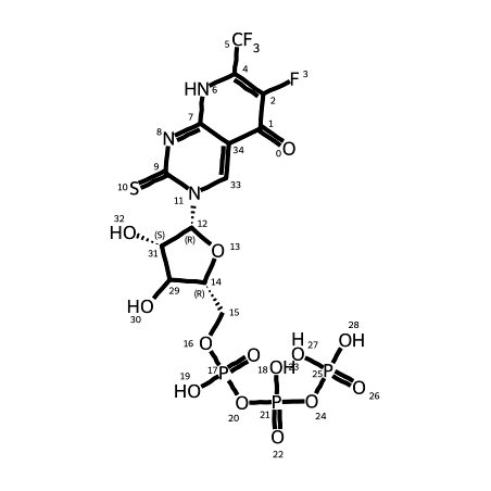 O=c1c(F)c(C(F)(F)F)[nH]c2nc(=S)n([C@@H]3O[C@H](COP(=O)(O)OP(=O)(O)OP(=O)(O)O)C(O)[C@@H]3O)cc12